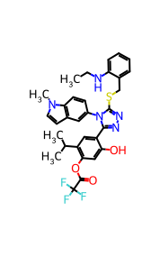 CCNc1ccccc1CSc1nnc(-c2cc(C(C)C)c(OC(=O)C(F)(F)F)cc2O)n1-c1ccc2c(ccn2C)c1